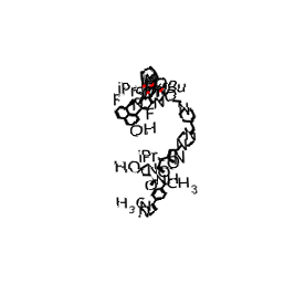 CC(C)[C@H](C(=O)N1C[C@H](O)C[C@H]1C(=O)N[C@@H](C)c1ccc(-c2ccnn2C)cc1)c1cc(N2CCN(CC3CCN(CCOc4nc(N5CC6CCC(C5)N6C(=O)OC(C)(C)C)c5cnc(-c6cc(O)cc7ccc(F)c(C#C[Si](C(C)C)(C(C)C)C(C)C)c67)c(F)c5n4)CC3)CC2)no1